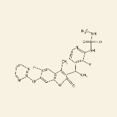 CNS(=O)(=O)Nc1nccc(C(C)c2c(C)c3cc(F)c(Oc4ncccn4)cc3oc2=O)c1F